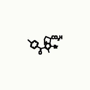 Cc1ccc(C(=O)c2c(C)c(Br)c3n2CCC3C(=O)O)cc1